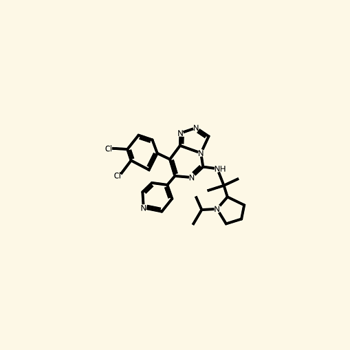 CC(C)N1CCCC1C(C)(C)Nc1nc(-c2ccncc2)c(-c2ccc(Cl)c(Cl)c2)c2nncn12